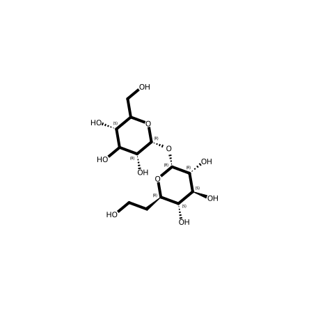 OCC[C@H]1O[C@H](O[C@H]2OC(CO)[C@@H](O)C(O)[C@H]2O)[C@H](O)[C@@H](O)[C@@H]1O